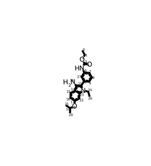 CCOC(=O)Nc1cccc(-c2c(N)c3ccc(OC(C)C)cc3n2CC)c1